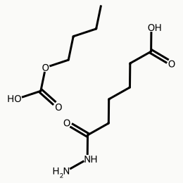 CCCCOC(=O)O.NNC(=O)CCCCC(=O)O